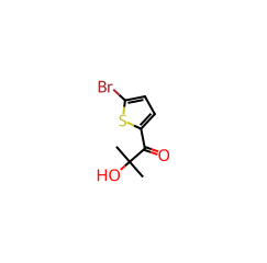 CC(C)(O)C(=O)c1ccc(Br)s1